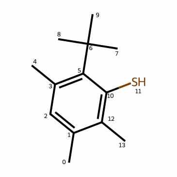 Cc1cc(C)c(C(C)(C)C)c(S)c1C